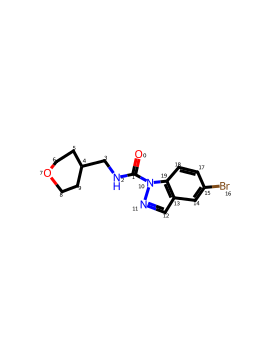 O=C(NCC1CCOCC1)n1ncc2cc(Br)ccc21